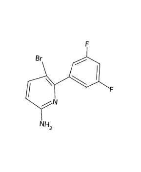 Nc1ccc(Br)c(-c2cc(F)cc(F)c2)n1